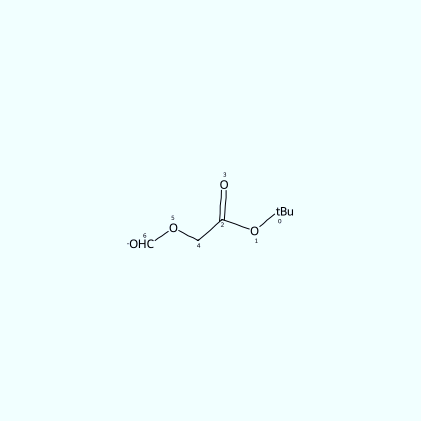 CC(C)(C)OC(=O)CO[C]=O